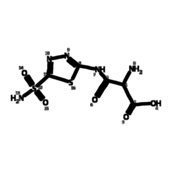 NC(C(=O)O)C(=O)Nc1nnc(S(N)(=O)=O)s1